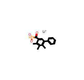 Cc1c(C(=O)[PH](=O)[O-])cc(-c2ccccc2)c(C)c1C.[Li+]